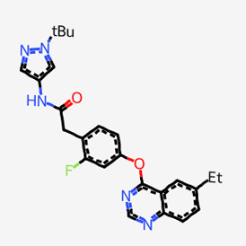 CCc1ccc2ncnc(Oc3ccc(CC(=O)Nc4cnn(C(C)(C)C)c4)c(F)c3)c2c1